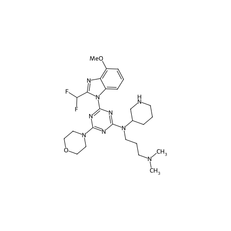 COc1cccc2c1nc(C(F)F)n2-c1nc(N2CCOCC2)nc(N(CCCN(C)C)C2CCCNC2)n1